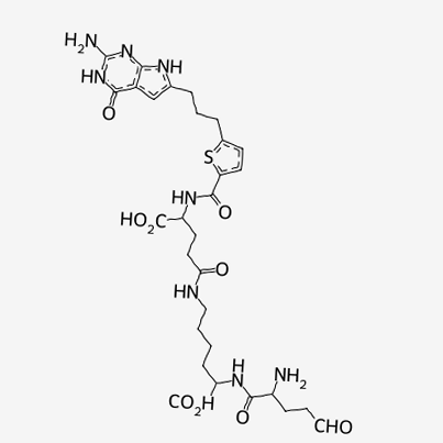 Nc1nc2[nH]c(CCCc3ccc(C(=O)NC(CCC(=O)NCCCCC(NC(=O)C(N)CCC=O)C(=O)O)C(=O)O)s3)cc2c(=O)[nH]1